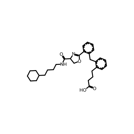 O=C(O)CCCc1ccccc1Cc1ccccc1C1=NC(C(=O)NCCCCC2CCCCC2)CO1